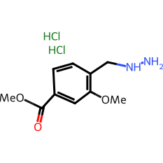 COC(=O)c1ccc(CNN)c(OC)c1.Cl.Cl